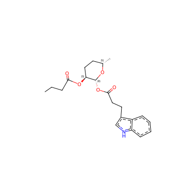 CCCC(=O)O[C@H]1CC[C@H](C)O[C@@H]1OC(=O)CCc1c[nH]c2ccccc12